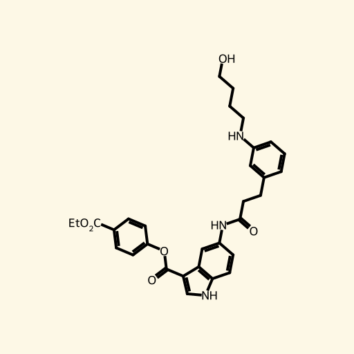 CCOC(=O)c1ccc(OC(=O)c2c[nH]c3ccc(NC(=O)CCc4cccc(NCCCCO)c4)cc23)cc1